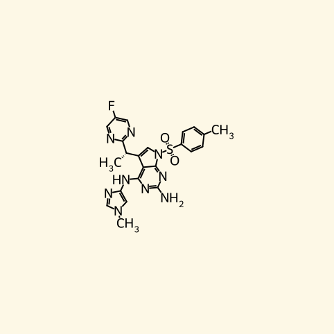 Cc1ccc(S(=O)(=O)n2cc([C@H](C)c3ncc(F)cn3)c3c(Nc4cn(C)cn4)nc(N)nc32)cc1